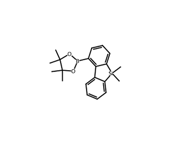 CC1(C)OB(c2cccc3c2-c2ccccc2[Si]3(C)C)OC1(C)C